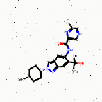 CC(C)(O)c1cc2nn([C@H]3CC[C@H](C=O)CC3)cc2cc1NC(=O)c1cncc(C(F)(F)F)n1